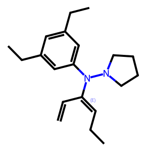 C=C/C(=C\CC)N(c1cc(CC)cc(CC)c1)N1CCCC1